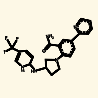 NC(=O)c1cc(-c2ccccn2)ccc1N1CCC(NC2C=CC(C(F)(F)F)=CN2)C1